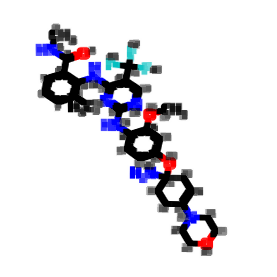 CNC(=O)c1cccc(C)c1Nc1nc(Nc2ccc(OC3(N)CC=C(N4CCOCC4)CC3)cc2OC)ncc1C(F)(F)F